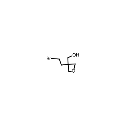 OCC1(CCBr)COC1